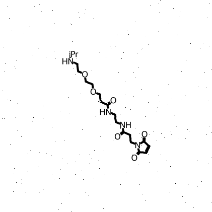 CC(C)NCCOCCOCCC(=O)NCCNC(=O)CCN1C(=O)C=CC1=O